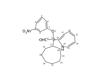 O=[C][Si](Oc1cccc([N+](=O)[O-])c1)(C1=CC=CC=CN1)C1CCCCCCC1